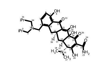 CC(C)CN(Cc1ccc(O)c2c1C[C@@H]1C[C@@H]3[C@@H](N(C)C)C(O)=C(C(N)=O)C(=O)[C@@]3(O)C(O)=C1C2=O)CC(C)C